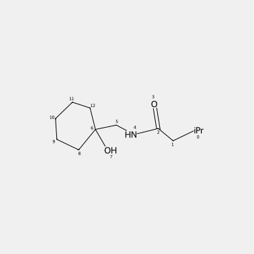 CC(C)CC(=O)NCC1(O)CCCCC1